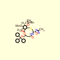 COc1cc(O[Si](C)(C)C(C)(C)C)c2c(c1C)C(=O)O[C@H](COC(c1ccccc1)(c1ccccc1)c1ccccc1)CCC(=O)N[C@H](c1nc(C)no1)CSC2